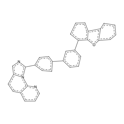 c1cc(-c2ccc(-c3ncc4ccc5cccnc5n34)cc2)cc(-c2cccc3c2oc2ccccc23)c1